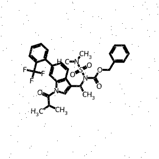 CC(C)C(=O)n1cc(C(C)N(C(=O)OCc2ccccc2)S(=O)(=O)N(C)C)c2ccc(-c3ccccc3C(F)(F)F)cc21